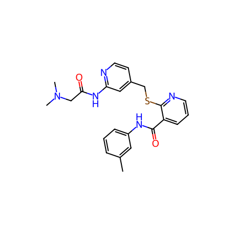 Cc1cccc(NC(=O)c2cccnc2SCc2ccnc(NC(=O)CN(C)C)c2)c1